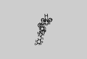 Cc1ccc(CC2CCN(c3cc4occ(C5CCC(=O)NC5=O)c4cc3F)C2)cc1